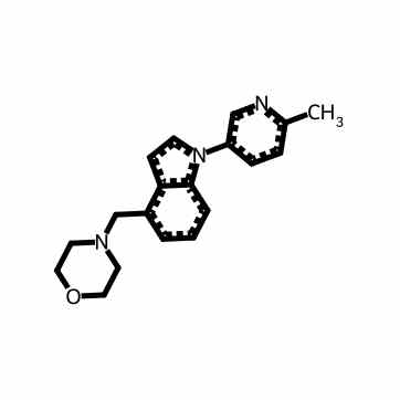 Cc1ccc(-n2ccc3c(CN4CCOCC4)cccc32)cn1